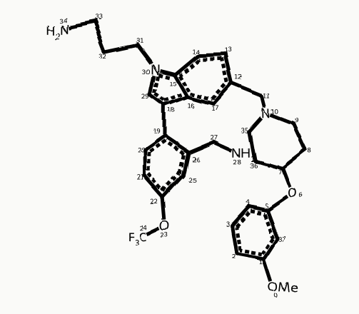 COc1cccc(OC2CCN(Cc3ccc4c(c3)c(-c3ccc(OC(F)(F)F)cc3CN)cn4CCCN)CC2)c1